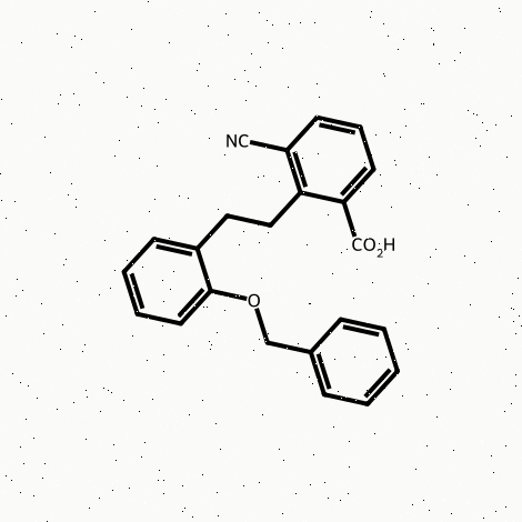 N#Cc1cccc(C(=O)O)c1CCc1ccccc1OCc1ccccc1